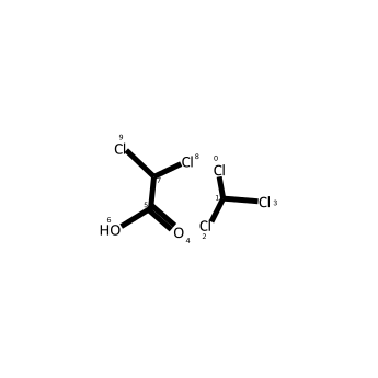 ClC(Cl)Cl.O=C(O)C(Cl)Cl